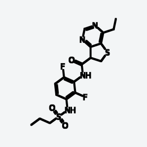 CCCS(=O)(=O)Nc1ccc(F)c(NC(=O)C2CSc3c(CC)ncnc32)c1F